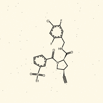 C#C[C@@H]1C[C@H](C(=O)NCc2cc(F)c(Cl)cc2F)N(C(=O)c2cccc(S(=O)(=O)CC)c2)C1